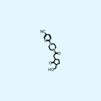 N#Cc1ccc(N2CCN(C(=O)CC3CCC(CO)C3=O)CC2)nc1